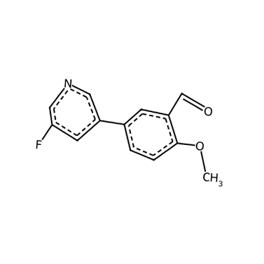 COc1ccc(-c2cncc(F)c2)cc1C=O